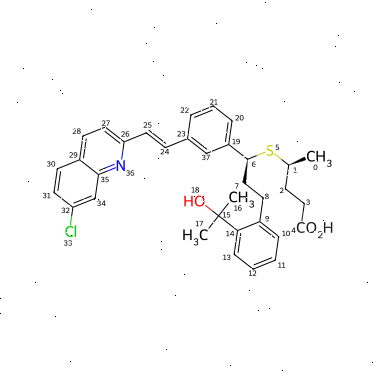 C[C@@H](CCC(=O)O)S[C@@H](CCc1ccccc1C(C)(C)O)c1cccc(C=Cc2ccc3ccc(Cl)cc3n2)c1